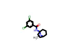 CN1C2CCCC1(NC(=O)c1cc(Cl)cc(Cl)c1)CC2